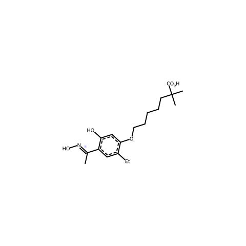 CCc1cc(/C(C)=N/O)c(O)cc1OCCCCCC(C)(C)C(=O)O